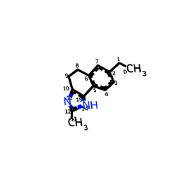 CCc1ccc2c(c1)CCc1nc(C)[nH]c1-2